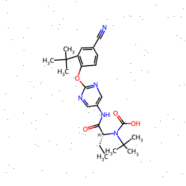 CC[C@H](C(=O)Nc1cnc(Oc2ccc(C#N)cc2C(C)(C)C)nc1)N(C(=O)O)C(C)(C)C